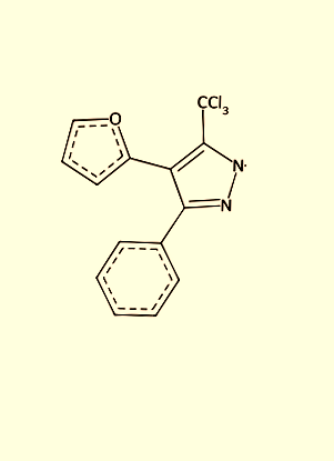 ClC(Cl)(Cl)C1=C(c2ccco2)C(c2ccccc2)=N[N]1